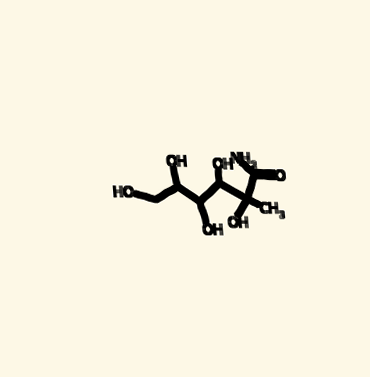 CC(O)(C(N)=O)C(O)C(O)C(O)CO